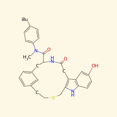 CCC(C)c1ccc(N(C)C(=O)C2Cc3cccc(c3)CCSCc3[nH]c4ccc(O)cc4c3CC(=O)N2)cc1